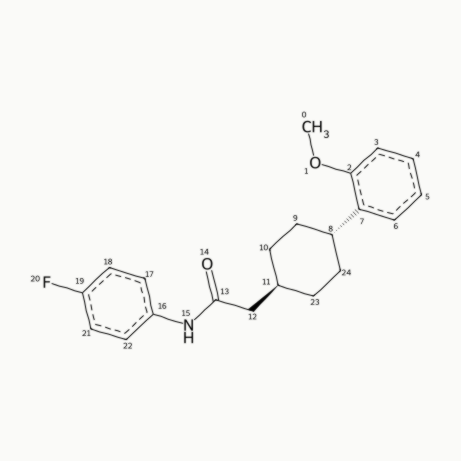 COc1ccccc1[C@H]1CC[C@H](CC(=O)Nc2ccc(F)cc2)CC1